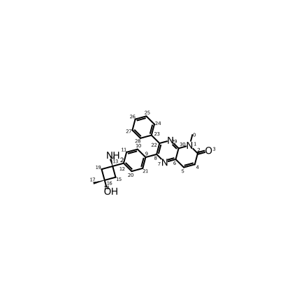 Cn1c(=O)ccc2nc(-c3ccc([C@]4(N)C[C@](C)(O)C4)cc3)c(-c3ccccc3)nc21